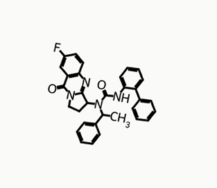 CC(c1ccccc1)N(C(=O)Nc1ccccc1-c1ccccc1)C1CCn2c1nc1ccc(F)cc1c2=O